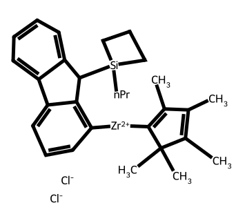 CCC[Si]1(C2c3ccccc3-c3ccc[c]([Zr+2][C]4=C(C)C(C)=C(C)C4(C)C)c32)CCC1.[Cl-].[Cl-]